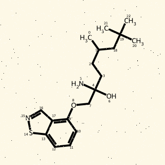 CC(CCC(N)(O)COc1cccc2sncc12)CC(C)(C)C